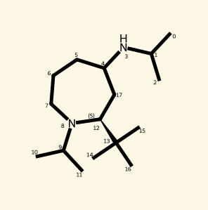 CC(C)NC1CCCN(C(C)C)[C@H](C(C)(C)C)C1